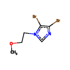 COCCn1cnc(Br)c1Br